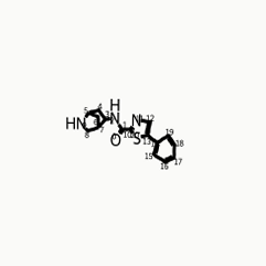 O=C(NC1CC2CC1CN2)c1ncc(-c2ccccc2)s1